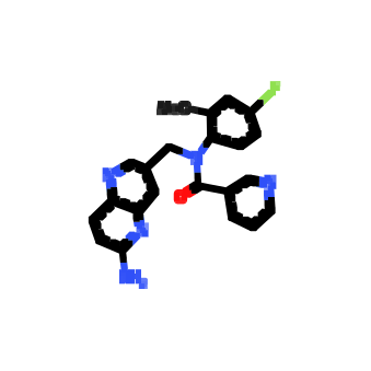 COc1cc(F)ccc1N(Cc1cnc2ccc(N)nc2c1)C(=O)c1cccnc1